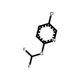 FC(F)Oc1ccc(Cl)cn1